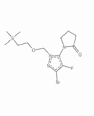 C[Si](C)(C)CCOCn1nc(Br)c(F)c1N1CCCC1=O